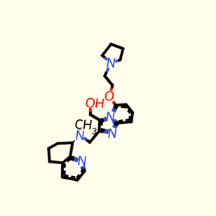 CN(Cc1nc2cccc(OCCN3CCCC3)n2c1CO)[C@H]1CCCc2cccnc21